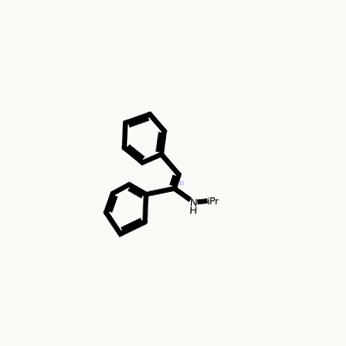 CC(C)N/C(=C/c1ccccc1)c1ccccc1